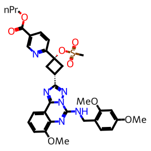 CCCOC(=O)c1ccc([C@]2(OS(C)(=O)=O)C[C@@H](c3nc4c5cccc(OC)c5nc(NCc5ccc(OC)cc5OC)n4n3)C2)nc1